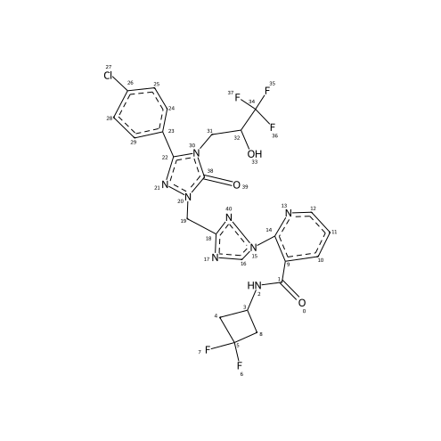 O=C(NC1CC(F)(F)C1)c1cccnc1-n1cnc(Cn2nc(-c3ccc(Cl)cc3)n(CC(O)C(F)(F)F)c2=O)n1